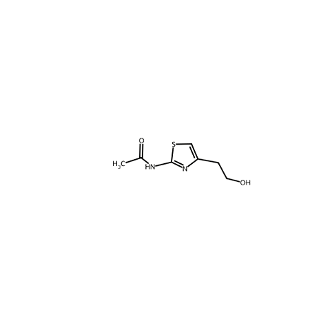 CC(=O)Nc1nc(CCO)cs1